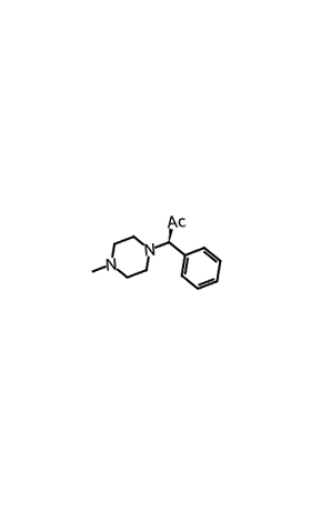 CC(=O)[C@@H](c1ccccc1)N1CCN(C)CC1